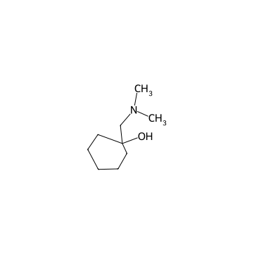 CN(C)CC1(O)CCCCC1